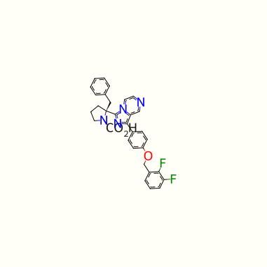 O=C(O)N1CCC[C@]1(Cc1ccccc1)c1nc(-c2ccc(OCc3cccc(F)c3F)cc2)c2cnccn12